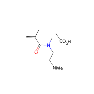 C=C(C)C(=O)N(C)CCNC.CC(=O)O